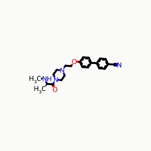 CN[C@H](C)C(=O)N1CCN(CCOc2ccc(-c3ccc(C#N)cc3)cc2)CC1